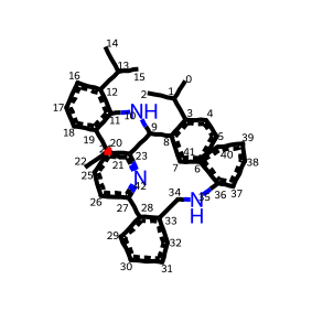 CC(C)c1ccccc1C(Nc1c(C(C)C)cccc1C(C)C)c1cccc(-c2ccccc2CNc2ccccc2)n1